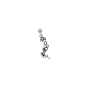 Cn1cc(-n2ccc(=O)c(Cc3cccc(-c4ncc(OCC5CCOC5)cn4)c3)n2)cn1